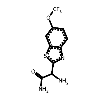 NC(=O)C(N)c1nc2ccc(OC(F)(F)F)cc2s1